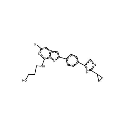 OCCCNc1nc(Br)cn2cc(-c3ccc(-c4cnc(C5CC5)[nH]4)cc3)nc12